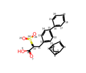 C1=CC2=CC=C1C2.O=C(O)C(Cc1ccc(-c2ccccc2)cc1)=S(=O)=O